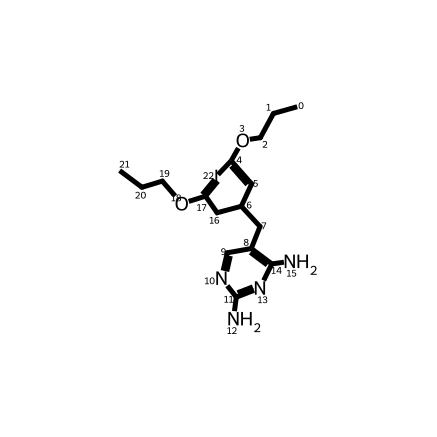 CCCOC1=CC(Cc2cnc(N)nc2N)CC(OCCC)=I1